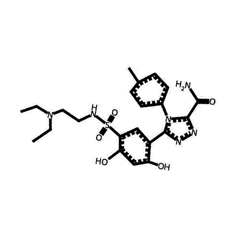 CCN(CC)CCNS(=O)(=O)c1cc(-c2nnc(C(N)=O)n2-c2ccc(C)cc2)c(O)cc1O